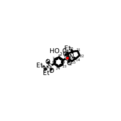 CCN(CC)S(=O)(=O)c1ccc(S(=O)(=O)N2C3CCC(C(=O)O)C2(CC)CC3)cc1